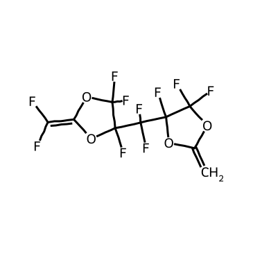 C=C1OC(F)(F)C(F)(C(F)(F)C2(F)OC(=C(F)F)OC2(F)F)O1